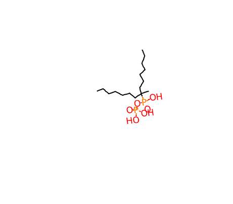 CCCCCCCC(C)(CCCCCCC)P(=O)(O)OP(=O)(O)O